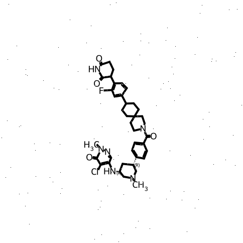 CN1C[C@H](Nc2cnn(C)c(=O)c2Cl)C[C@H](c2ccc(C(=O)N3CCC4(CCC(c5ccc(C6CCC(=O)NC6=O)c(F)c5)CC4)CC3)cc2)C1